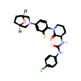 O=C(Nc1ccc(Cl)cc1)NC1CCCN(c2ccc(N3C[C@H]4CC[C@@H](C3)O4)cc2F)C1=O